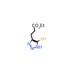 CCOC(=O)CCc1nn[nH]c1S